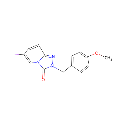 COc1ccc(Cn2nc3ccc(I)cn3c2=O)cc1